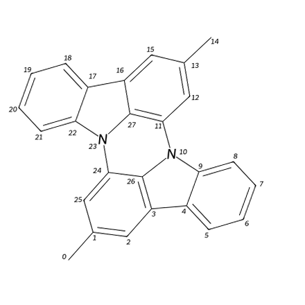 Cc1cc2c3ccccc3n3c4cc(C)cc5c6ccccc6n(c(c1)c23)c54